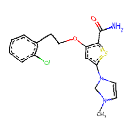 CN1C=CN(c2cc(OCCc3ccccc3Cl)c(C(N)=O)s2)C1